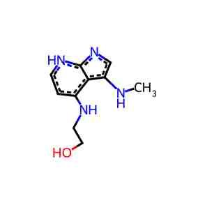 CNc1cnc2[nH]ccc(NCCO)c1-2